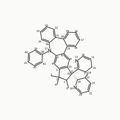 CC1C(C)(C)c2cc3c(cc2[C@]1(C1=NC=CCC1)C1N=CC=CC1I)-c1ccccc1-c1ccccc1N3c1ccccc1